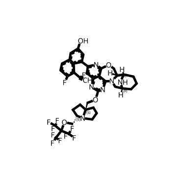 C#Cc1c(F)ccc2cc(O)cc(-c3nc4c5c(nc(OC[C@@]67CCCN6[C@H](COC(C(F)(F)F)(C(F)(F)F)C(F)(F)F)CC7)nc5c3F)N3C[C@H]5CCC[C@H](N5)[C@H]3CO4)c12